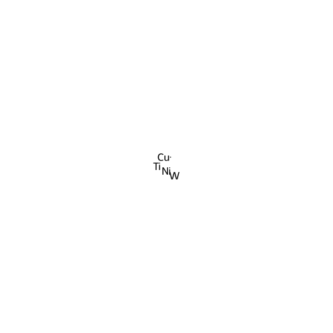 [Cu].[Ni].[Ti].[W]